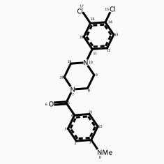 CNc1ccc(C(=O)N2CCN(c3ccc(Cl)c(Cl)c3)CC2)cc1